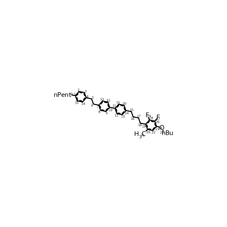 CCCCCc1ccc(CCc2ccc(-c3ccc(CCCCc4c(C)cc(OCCCC)c(F)c4F)cc3)cc2)cc1